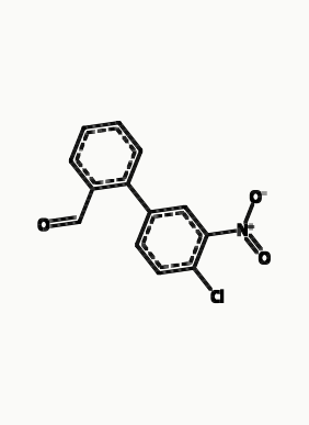 O=Cc1ccccc1-c1ccc(Cl)c([N+](=O)[O-])c1